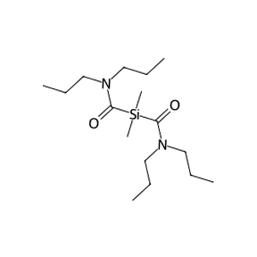 CCCN(CCC)C(=O)[Si](C)(C)C(=O)N(CCC)CCC